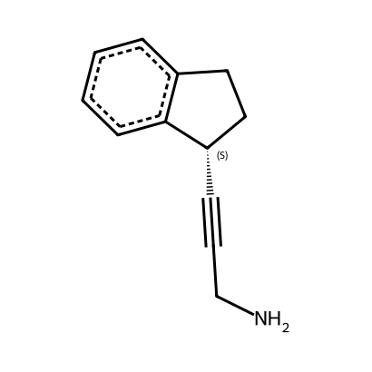 NCC#C[C@H]1CCc2ccccc21